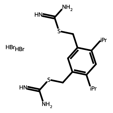 Br.Br.CC(C)c1cc(C(C)C)c(CSC(=N)N)cc1CSC(=N)N